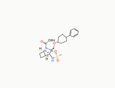 COC(=O)N1[C@@H]2CC[C@@H]2[C@H](NS(C)(=O)=O)[C@@H]1COC1CCC(c2ccccc2)CC1